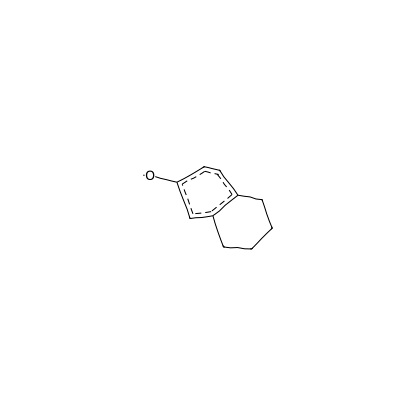 [O]c1ccc2c(c1)CCCC2